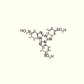 O=S(=O)(O)C1=CC2N=C3N(c4nc5c(n4-c4nc6c(n43)C=CC(S(=O)(=O)O)C6)CCC(S(=O)(=O)O)=C5)C2C=C1